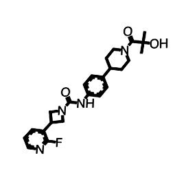 CC(C)(O)C(=O)N1CCC(c2ccc(NC(=O)N3CC(c4cccnc4F)C3)cc2)CC1